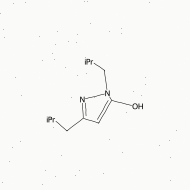 CC(C)Cc1cc(O)n(CC(C)C)n1